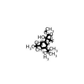 COC(=O)C(O)(c1cc(C(C)(C)C)cc(C(C)(C)C)c1)C(F)(F)F